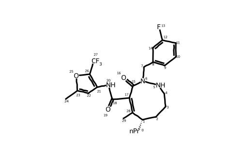 CCC[C@H]1CCCNN(Cc2cccc(F)c2)C(=O)/C(C(=O)Nc2cc(C)oc2C(F)(F)F)=C\1C